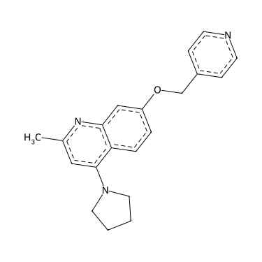 Cc1cc(N2CCCC2)c2ccc(OCc3ccncc3)cc2n1